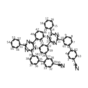 N#Cc1ccc(-c2cccc(-c3nc(-c4ccccc4)nc(-c4cccc(-c5cc(C#N)ccc5-c5cccc(-c6nc(-c7ccccc7)nc(-c7ccccc7)n6)c5)c4)n3)c2)cc1